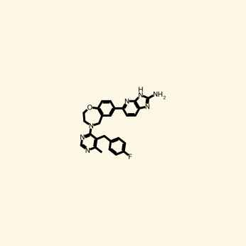 Cc1ncnc(N2CCOc3ccc(-c4ccc5nc(N)[nH]c5n4)cc3C2)c1Cc1ccc(F)cc1